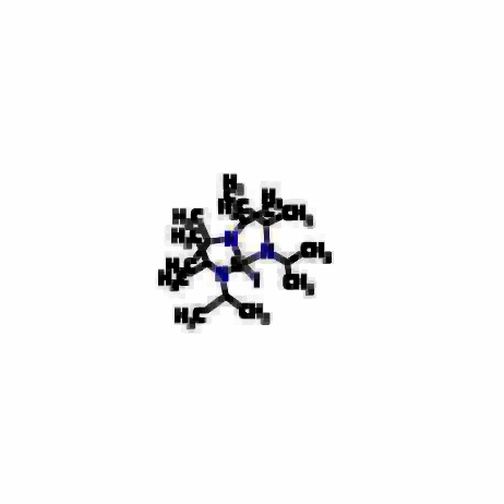 CC(C)N(C(C)C)[Si](I)(N(C(C)C)C(C)C)N(C(C)C)C(C)C